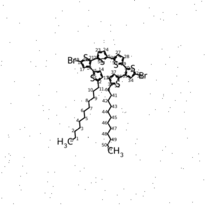 CCCCCCCCCCCCc1ccc(-c2cc(Br)sc2-c2ccc(-c3ccc(-c4sc(Br)cc4-c4ccc(CCCCCCCCCCCC)s4)s3)s2)s1